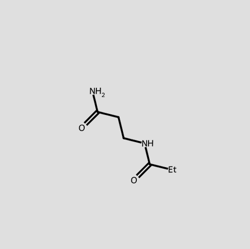 CCC(=O)NCCC(N)=O